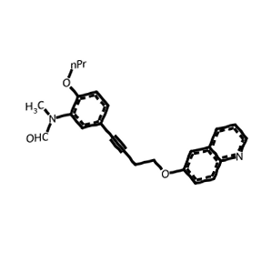 CCCOc1ccc(C#CCCOc2ccc3ncccc3c2)cc1N(C)C=O